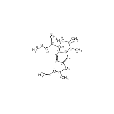 CCOC(C)Oc1ccc(OC(C)OCC)c(C(C)C(C)C)c1